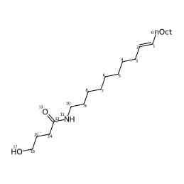 CCCCCCCCC=CCCCCCCCCNC(=O)CCCO